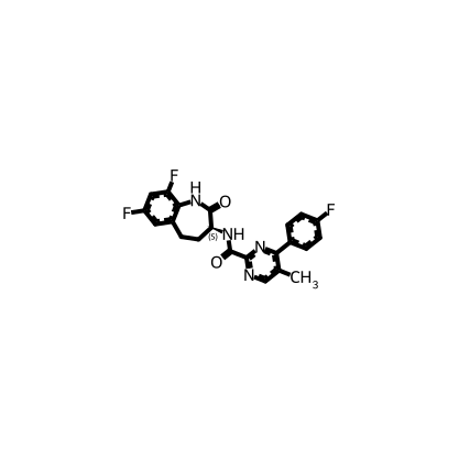 Cc1cnc(C(=O)N[C@H]2CCc3cc(F)cc(F)c3NC2=O)nc1-c1ccc(F)cc1